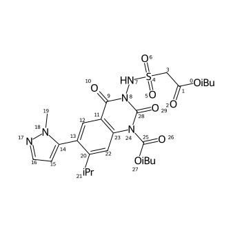 CC(C)COC(=O)CS(=O)(=O)Nn1c(=O)c2cc(-c3ccnn3C)c(C(C)C)cc2n(C(=O)OCC(C)C)c1=O